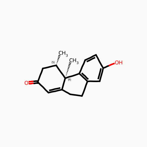 C[C@H]1CC(=O)C=C2CCc3cc(O)ccc3[C@@]21C